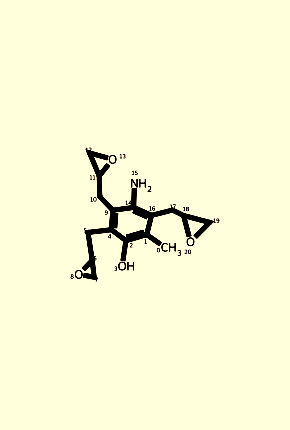 Cc1c(O)c(CC2CO2)c(CC2CO2)c(N)c1CC1CO1